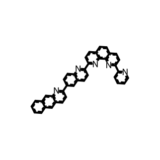 c1ccc(-c2ccc3ccc4ccc(-c5ccc6cc(-c7ccc8cc9ccccc9cc8n7)ccc6n5)nc4c3n2)nc1